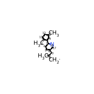 [CH2][C@@H](C)Cc1ccc(-c2cc(C)ccc2C)nc1